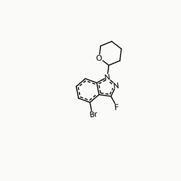 Fc1nn(C2CCCCO2)c2cccc(Br)c12